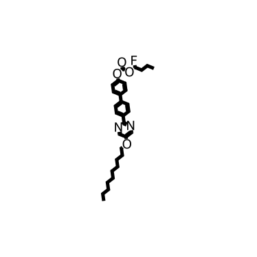 CCCCCCCCCCOc1cnc(-c2ccc(-c3ccc(OC(=O)OC(F)CCC)cc3)cc2)nc1